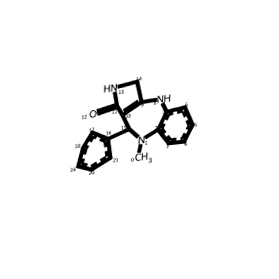 CN1c2ccccc2NC2=C(C(=O)NC2)C1c1ccccc1